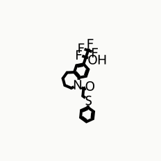 O=C(CSc1ccccc1)N1CCCCc2cc(C(O)(F)C(F)(F)F)ccc21